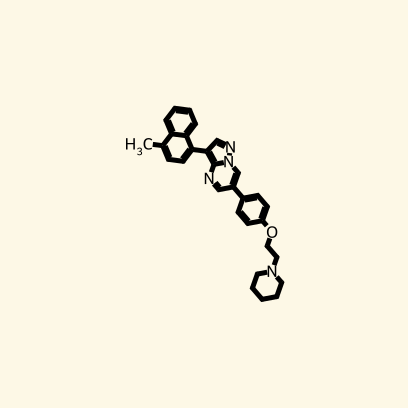 Cc1ccc(-c2cnn3cc(-c4ccc(OCCN5CCCCC5)cc4)cnc23)c2ccccc12